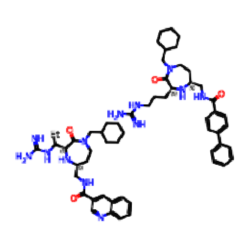 CCC(NC(=N)N)[C@@H]1N[C@H](CNC(=O)c2cnc3ccccc3c2)CCN(CC2CCCCC2)C1=O.N=C(N)NCCC[C@@H]1N[C@H](CNC(=O)c2ccc(-c3ccccc3)cc2)CCN(CC2CCCCC2)C1=O